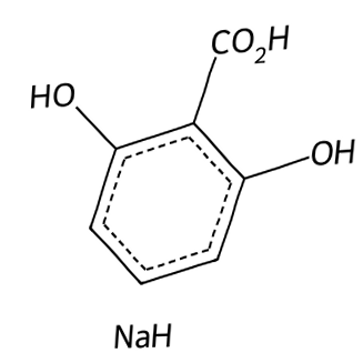 O=C(O)c1c(O)cccc1O.[NaH]